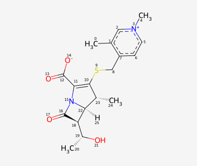 Cc1c[n+](C)ccc1CSC1=C(C(=O)[O-])N2C(=O)[C@H]([C@@H](C)O)[C@@H]2[C@H]1C